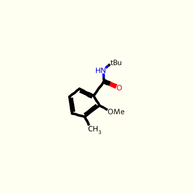 COc1c(C)cccc1C(=O)NC(C)(C)C